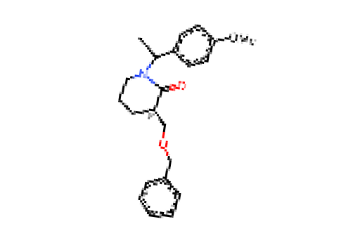 COc1ccc(C(C)N2CCC[C@H](COCc3ccccc3)C2=O)cc1